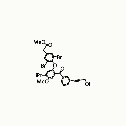 COC(=O)Cc1cc(Br)c(Oc2cc(C(C)C)c(OC)cc2C(=O)c2cccc(C#CCO)c2)c(Br)c1